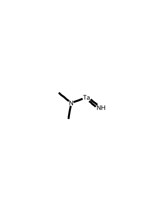 C[N](C)[Ta]=[NH]